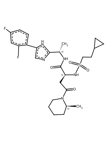 C[C@H](NC(=O)[C@H](CC(=O)N1CCCC[C@@H]1C)NS(=O)(=O)CCC1CC1)c1ncc(-c2ccc(F)cc2F)[nH]1